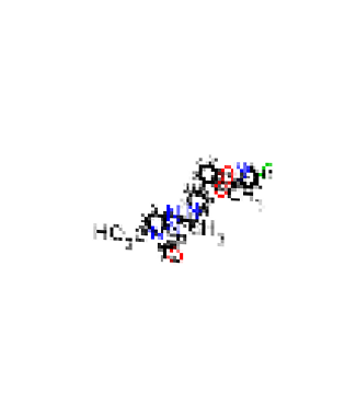 C[C@@H](c1nc2ccc(C(=O)O)nc2n1C[C@@H]1CCO1)N1CCC(c2cccc3c2OC(C)(c2ccc(Cl)cn2)O3)CC1